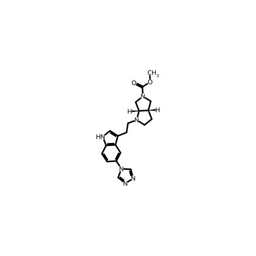 COC(=O)N1C[C@@H]2CCN(CCc3c[nH]c4ccc(-n5cnnc5)cc34)[C@@H]2C1